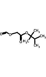 CC(C)C(C)(C)OC(=O)COC=O